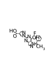 C[C@@H](c1cccc(F)c1)n1ncc2nc(-n3cc(C(=O)O)cn3)nc(O)c21